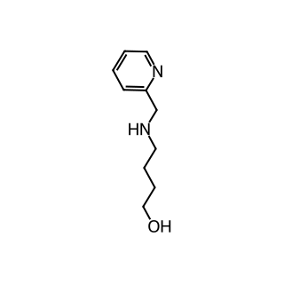 OCCCCNCc1ccccn1